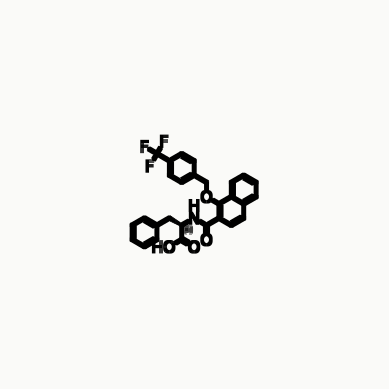 O=C(N[C@H](Cc1ccccc1)C(=O)O)c1ccc2ccccc2c1OCc1ccc(C(F)(F)F)cc1